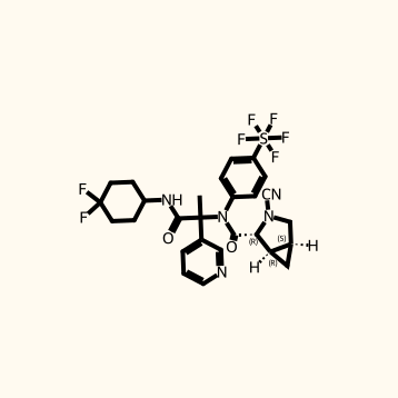 CC(C(=O)NC1CCC(F)(F)CC1)(c1cccnc1)N(C(=O)[C@H]1[C@@H]2C[C@@H]2CN1C#N)c1ccc(S(F)(F)(F)(F)F)cc1